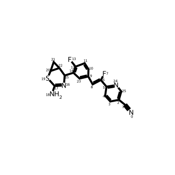 N#Cc1ccc(/C(F)=C/c2ccc(F)c(C3N=C(N)SC4CC43)c2)nc1